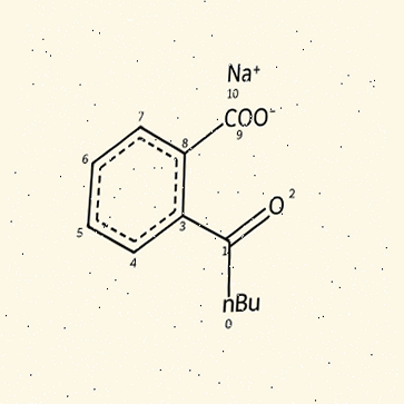 CCCCC(=O)c1ccccc1C(=O)[O-].[Na+]